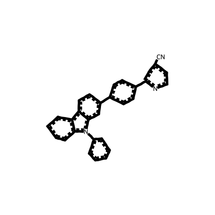 N#Cc1ccnc(-c2ccc(-c3ccc4c5ccccc5n(-c5ccccc5)c4c3)cc2)c1